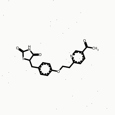 CC(=O)c1ccc(CCOc2ccc(CC3SC(=O)NC3=O)cc2)nc1